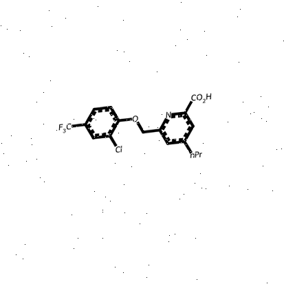 CCCc1cc(COc2ccc(C(F)(F)F)cc2Cl)nc(C(=O)O)c1